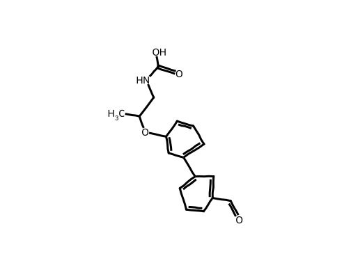 CC(CNC(=O)O)Oc1cccc(-c2cccc(C=O)c2)c1